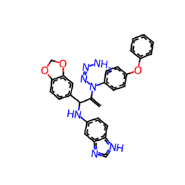 C=C(C(Nc1ccc2[nH]cnc2c1)c1ccc2c(c1)OCO2)N(/N=N\N)c1ccc(Oc2ccccc2)cc1